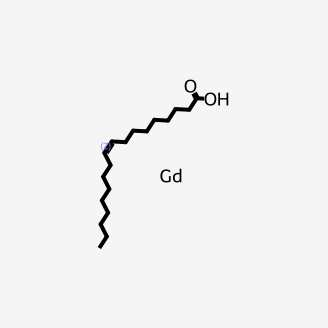 CCCCCCCC/C=C\CCCCCCCC(=O)O.[Gd]